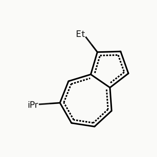 CCc1ccc2cccc(C(C)C)cc1-2